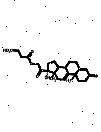 C[C@]12CCC(=O)C=C1CCC1C2=CC[C@@]2(C)C1CC[C@]2(O)C(=O)COC(=O)CCC(=O)O